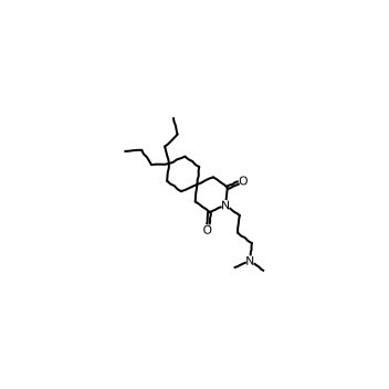 CCCC1(CCC)CCC2(CC1)CC(=O)N(CCCN(C)C)C(=O)C2